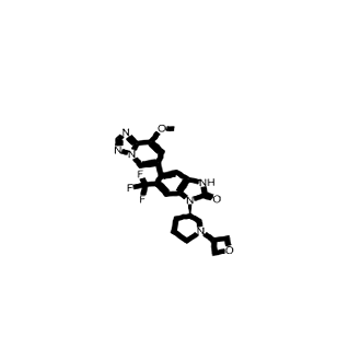 COc1cc(-c2cc3[nH]c(=O)n([C@@H]4CCCN(C5COC5)C4)c3cc2C(F)(F)F)cn2ncnc12